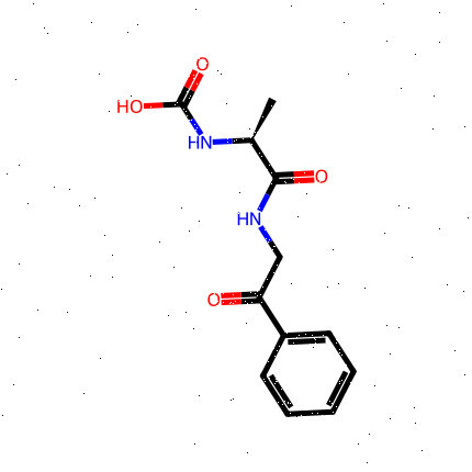 C[C@H](NC(=O)O)C(=O)NCC(=O)c1ccccc1